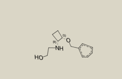 OCCN[C@@H]1CC[C@@H]1OCc1ccccc1